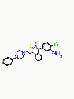 Nc1cc(C2NC(=S)C(CCN3CCN(c4ccccc4)CC3)c3ccccc32)ccc1Cl